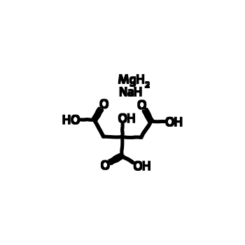 O=C(O)CC(O)(CC(=O)O)C(=O)O.[MgH2].[NaH]